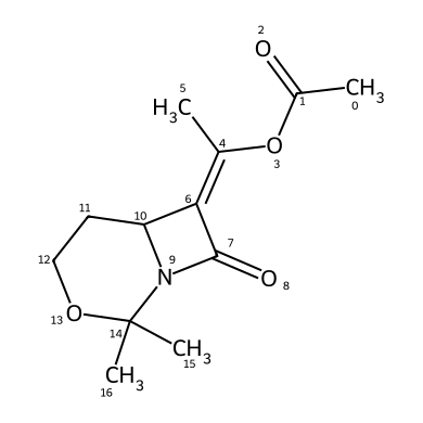 CC(=O)O/C(C)=C1\C(=O)N2C1CCOC2(C)C